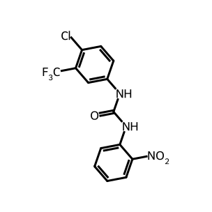 O=C(Nc1ccc(Cl)c(C(F)(F)F)c1)Nc1ccccc1[N+](=O)[O-]